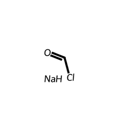 O=CCl.[NaH]